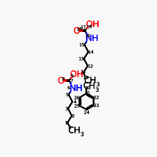 CCCCCCNC(=O)O.CCCCCCNC(=O)O.Cc1ccccc1